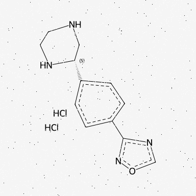 Cl.Cl.c1nc(-c2ccc([C@H]3CNCCN3)cc2)no1